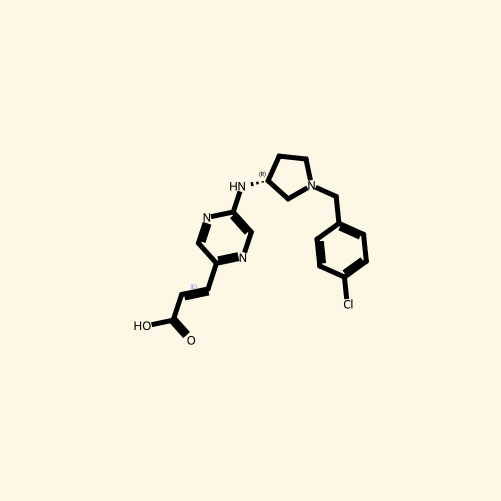 O=C(O)/C=C/c1cnc(N[C@@H]2CCN(Cc3ccc(Cl)cc3)C2)cn1